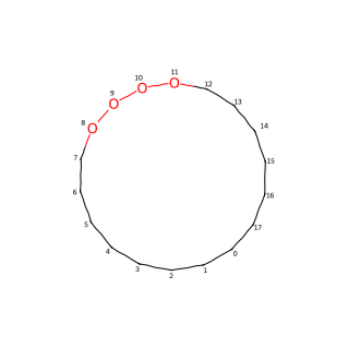 C1CCCCCCCOOOOCCCCCC1